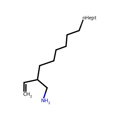 C=CC(CN)CCCCCCCCCCCCC